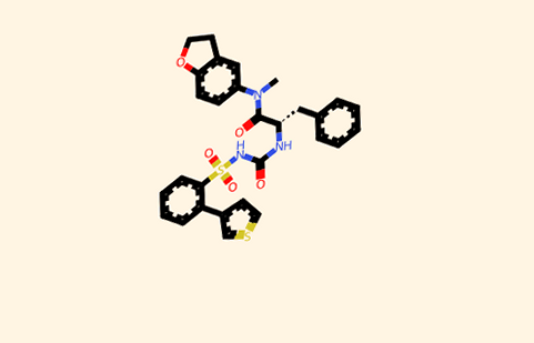 CN(C(=O)[C@H](Cc1ccccc1)NC(=O)NS(=O)(=O)c1ccccc1-c1ccsc1)c1ccc2c(c1)CCO2